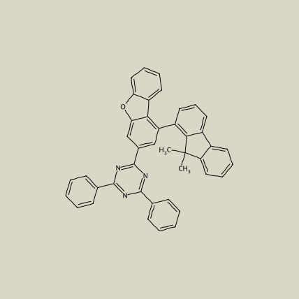 CC1(C)c2ccccc2-c2cccc(-c3cc(-c4nc(-c5ccccc5)nc(-c5ccccc5)n4)cc4oc5ccccc5c34)c21